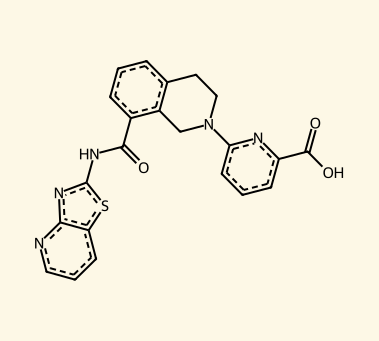 O=C(O)c1cccc(N2CCc3cccc(C(=O)Nc4nc5ncccc5s4)c3C2)n1